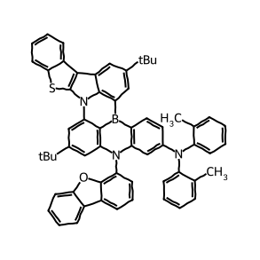 Cc1ccccc1N(c1ccc2c(c1)N(c1cccc3c1oc1ccccc13)c1cc(C(C)(C)C)cc3c1B2c1cc(C(C)(C)C)cc2c4c5ccccc5sc4n-3c12)c1ccccc1C